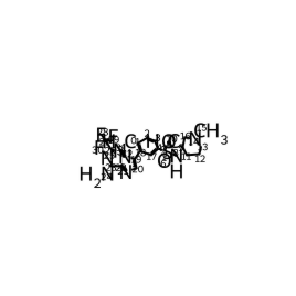 Cc1ccc(S(=O)(=O)NC2(C)CCCN(C)C2)cc1-c1cnc2c(N)nc(C(F)(F)F)nn12